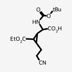 CCOC(=O)C1C(CCC#N)C1C(NC(=O)OC(C)(C)C)C(=O)O